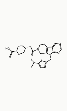 O=C(C[C@H]1CC[C@H](C(=O)O)CC1)N1CCc2c(n(Cc3ccc(C(F)F)s3)c3ncccc23)C1